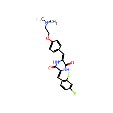 CN(C)CCOc1ccc(C=c2[nH]c(=O)c(=Cc3ccc(F)cc3F)[nH]c2=O)cc1